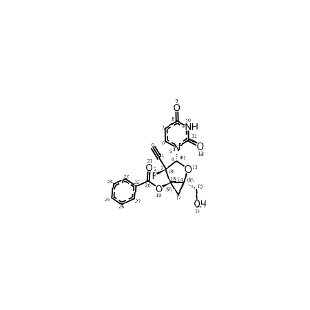 C#C[C@]1(F)[C@H](n2ccc(=O)[nH]c2=O)O[C@@]2(CO)C[C@@]21OC(=O)c1ccccc1